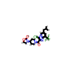 CC(C)Cc1cc(C(F)(F)F)c2nc(C(=O)N3CCC(N4CCOC4=O)CC3)c(Cl)n2c1